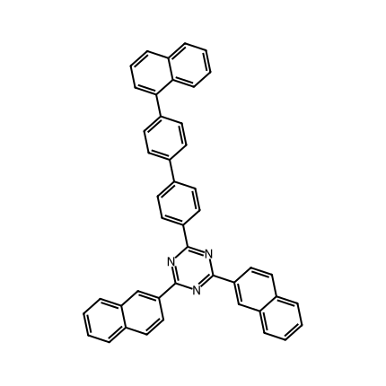 c1ccc2cc(-c3nc(-c4ccc(-c5ccc(-c6cccc7ccccc67)cc5)cc4)nc(-c4ccc5ccccc5c4)n3)ccc2c1